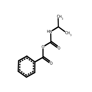 CC(C)NC(=O)OC(=O)c1ccccc1